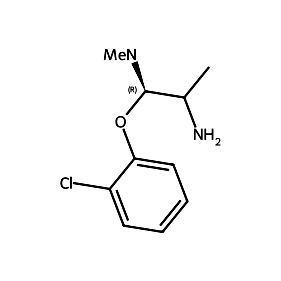 CN[C@H](Oc1ccccc1Cl)C(C)N